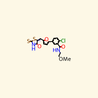 COCCNC(=O)c1cc(-c2ccc(/C=C3/SC(=S)NC3=O)o2)ccc1Cl